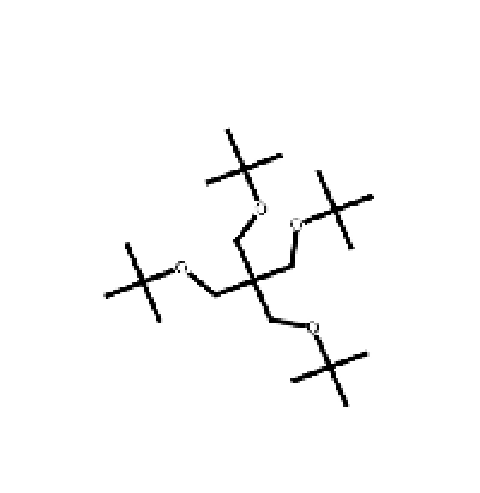 CC(C)(C)OCC(COC(C)(C)C)(COC(C)(C)C)COC(C)(C)C